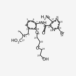 CN(Cc1cccc(NC(=O)c2nc(Br)cnc2N)c1OCCOCCO)C(=O)O